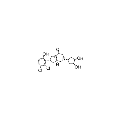 O=C1CN(C2C[C@@H](O)[C@@H](O)C2)C[C@@H]2C[C@H](c3c(O)ccc(Cl)c3Cl)CN12